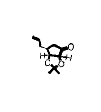 C=CC[C@H]1CC(=O)[C@@H]2OC(C)(C)O[C@H]12